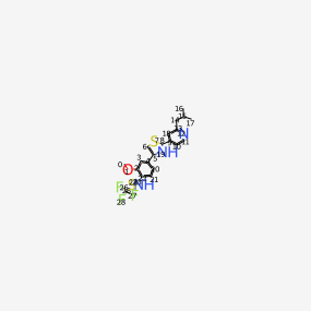 COc1cc(C2=CSC(c3ccnc(CC(C)C)c3)N2)ccc1NSC(F)(F)F